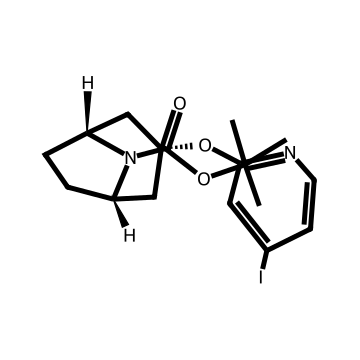 CC(C)(C)OC(=O)N1[C@@H]2CC[C@H]1C[C@@H](Oc1cc(I)ccn1)C2